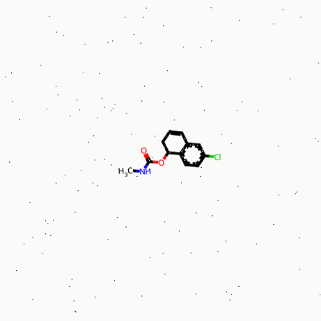 CNC(=O)OC1CC=Cc2cc(Cl)ccc21